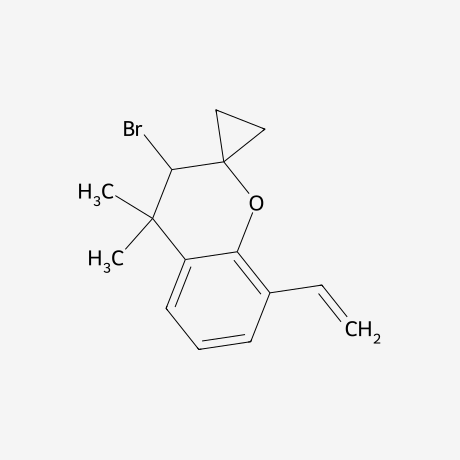 C=Cc1cccc2c1OC1(CC1)C(Br)C2(C)C